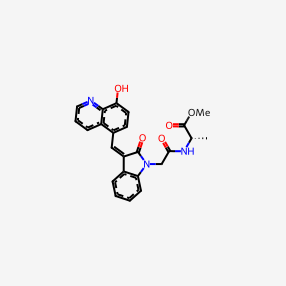 COC(=O)[C@H](C)NC(=O)CN1C(=O)C(=Cc2ccc(O)c3ncccc23)c2ccccc21